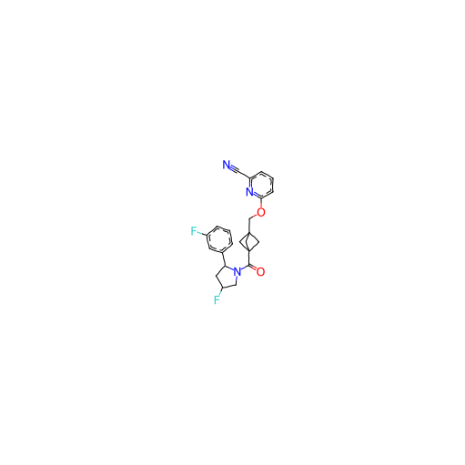 N#Cc1cccc(OCC23CC(C(=O)N4CC(F)CC4c4cccc(F)c4)(C2)C3)n1